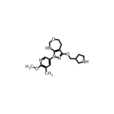 COc1ncc(-n2nc(OCC3CCNC3)c3c2NCOCC3)cc1C